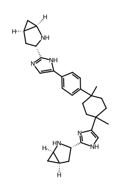 CC1(c2ccc(-c3cnc([C@@H]4C[C@H]5C[C@H]5N4)[nH]3)cc2)CCC(C)(c2c[nH]c([C@@H]3C[C@H]4C[C@H]4N3)n2)CC1